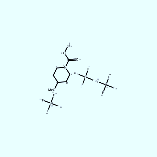 COC1CCN(C(=O)OC(C)(C)C)CC1.F[B-](F)(F)F.F[B-](F)(F)F.F[B-](F)(F)F